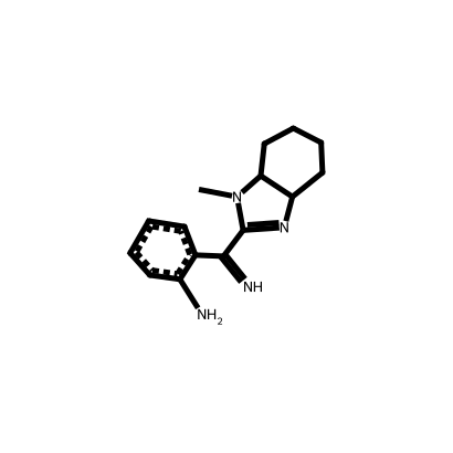 CN1C(C(=N)c2ccccc2N)=NC2CCCCC21